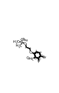 CC(C)(C)[Si](C)(C)OCCOc1ccc(Br)c(F)c1C=O